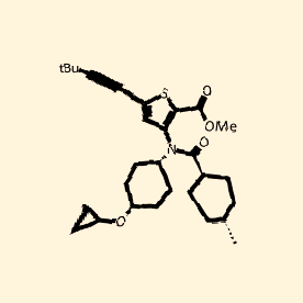 COC(=O)c1sc(C#CC(C)(C)C)cc1N(C(=O)[C@H]1CC[C@H](C)CC1)[C@H]1CC[C@H](OC2CC2)CC1